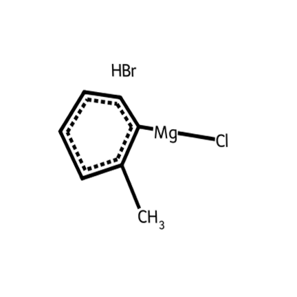 Br.Cc1cccc[c]1[Mg][Cl]